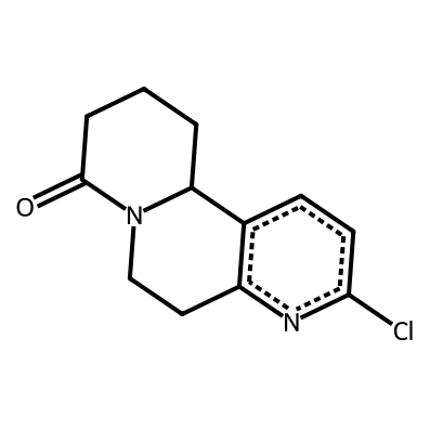 O=C1CCCC2c3ccc(Cl)nc3CCN12